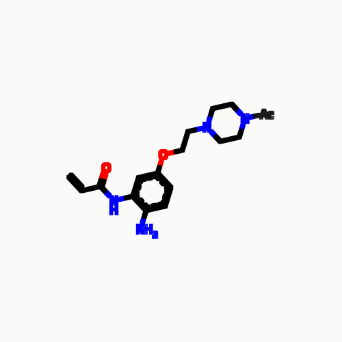 C=CC(=O)Nc1cc(OCCN2CCN(C(C)=O)CC2)ccc1N